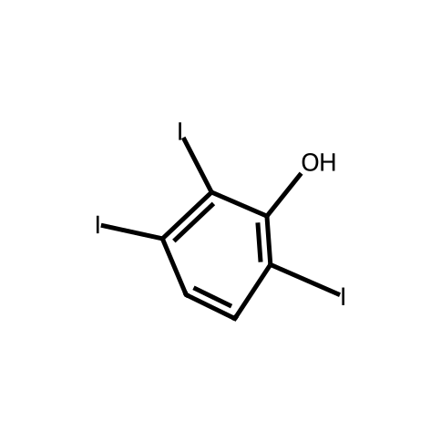 Oc1c(I)ccc(I)c1I